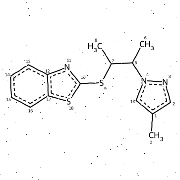 Cc1cnn(C(C)C(C)Sc2nc3ccccc3s2)c1